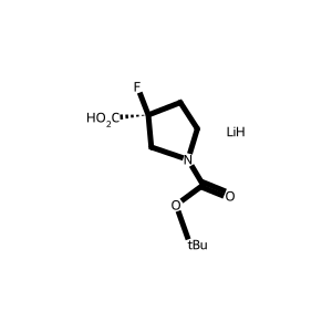 CC(C)(C)OC(=O)N1CC[C@@](F)(C(=O)O)C1.[LiH]